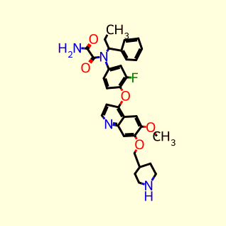 CCC(c1ccccc1)N(C(=O)C(N)=O)c1ccc(Oc2ccnc3cc(OCC4CCNCC4)c(OC)cc23)c(F)c1